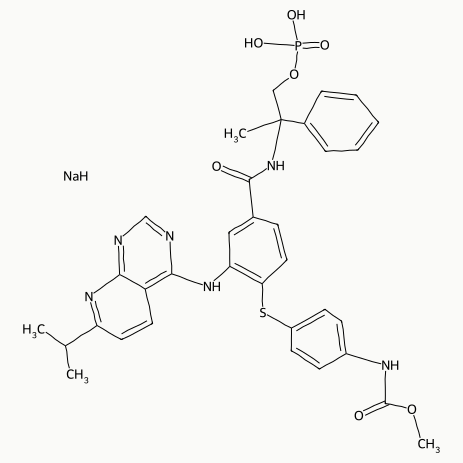 COC(=O)Nc1ccc(Sc2ccc(C(=O)NC(C)(COP(=O)(O)O)c3ccccc3)cc2Nc2ncnc3nc(C(C)C)ccc23)cc1.[NaH]